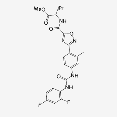 COC(=O)C(NC(=O)c1cc(-c2ccc(NC(=O)Nc3ccc(F)cc3F)cc2C)no1)C(C)C